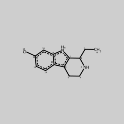 CCC1NCCc2c1[nH]c1cc(Cl)ccc21